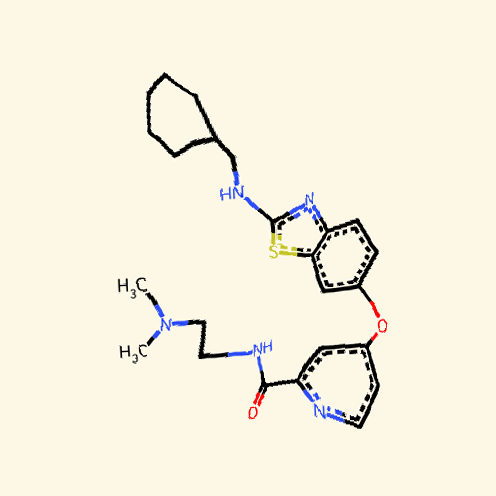 CN(C)CCNC(=O)c1cc(Oc2ccc3nc(NCC4CCCCC4)sc3c2)ccn1